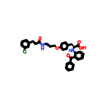 O=C(CCc1cccc(Cl)c1)NCCCOc1ccc(C[C@H](Nc2ccccc2C(=O)c2ccccc2)C(=O)O)cc1